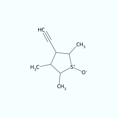 C#CC1C(C)C(C)[S+]([O-])C1C